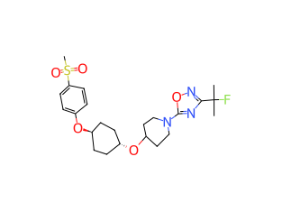 CC(C)(F)c1noc(N2CCC(O[C@H]3CC[C@H](Oc4ccc(S(C)(=O)=O)cc4)CC3)CC2)n1